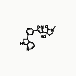 CN1CC[C@@](O)(c2cc(-c3cccc(-c4c[nH]c5ncccc45)c3)on2)C1=O